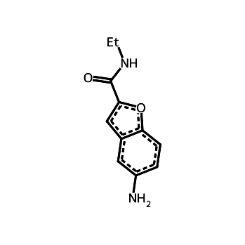 CCNC(=O)c1cc2cc(N)ccc2o1